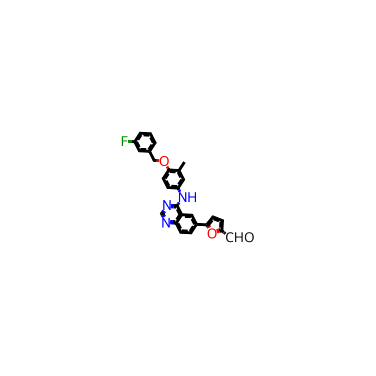 Cc1cc(Nc2ncnc3ccc(-c4ccc(C=O)o4)cc23)ccc1OCc1cccc(F)c1